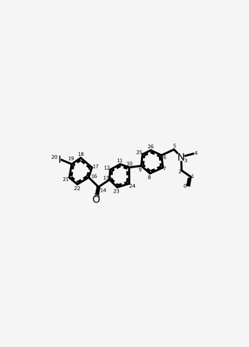 C=CCN(C)Cc1ccc(-c2ccc(C(=O)c3ccc(I)cc3)cc2)cc1